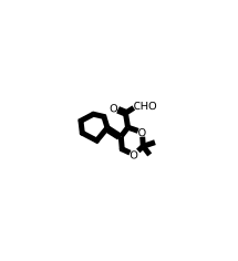 CC1(C)OCC(=C2CCCCC2)C(C(=O)C=O)O1